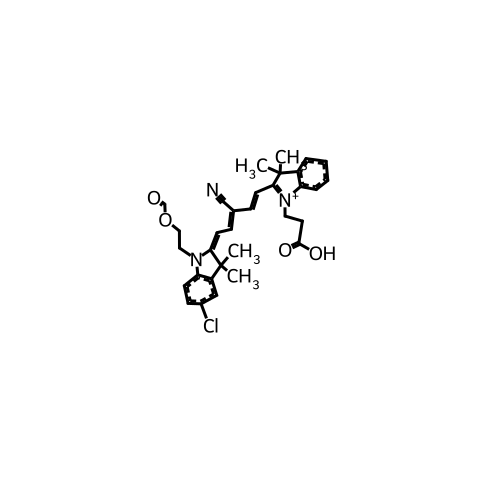 CC1(C)C(/C=C/C(C#N)=C/C=C2/N(CCOC=O)c3ccc(Cl)cc3C2(C)C)=[N+](CCC(=O)O)c2ccccc21